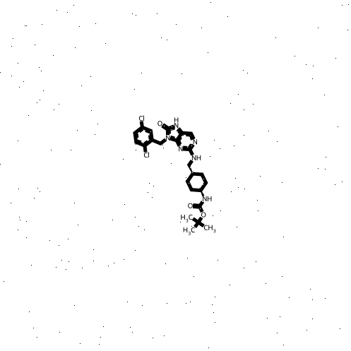 CC(C)(C)OC(=O)N[C@H]1CC[C@@H](CNc2ncc3[nH]c(=O)n(Cc4cc(Cl)ccc4Cl)c3n2)CC1